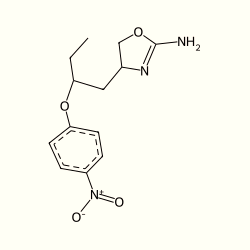 CCC(CC1COC(N)=N1)Oc1ccc([N+](=O)[O-])cc1